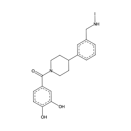 O=C(c1ccc(O)c(O)c1)N1CCC(c2cccc(CNI)c2)CC1